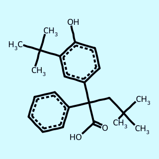 CC(C)(C)CC(C(=O)O)(c1ccccc1)c1ccc(O)c(C(C)(C)C)c1